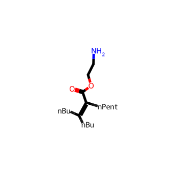 CCCCCC(C(=O)OCCN)=C(CCCC)CCCC